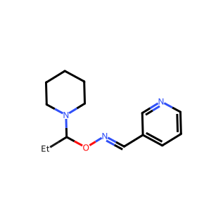 CCC(ON=Cc1cccnc1)N1CCCCC1